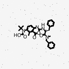 Cc1c(N(C(=O)O)C(C)(C)C)ccc2nc(N[C@@H](Cc3ccccc3)C(=O)N(C)Cc3ccccc3)oc(=O)c12